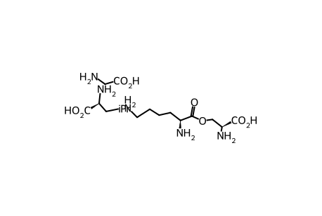 CC(C)C[C@H](N)C(=O)O.NCC(=O)O.NCCCC[C@H](N)C(=O)OC[C@H](N)C(=O)O